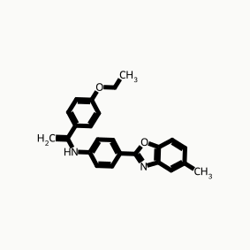 C=C(Nc1ccc(-c2nc3cc(C)ccc3o2)cc1)c1ccc(OCC)cc1